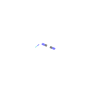 N=C=NF